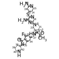 C[C@@H]1OCC2(CCN(c3cnc(Sc4ccnc(N)c4)c(N)n3)CC2)[C@@H]1NCc1cc(F)c2c(c1)CN(C1CCCNC1)C2=O